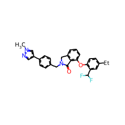 CCc1ccc(Oc2cccc3c2C(=O)N(Cc2ccc(-c4cnn(C)c4)cc2)C3)c(C(F)F)c1